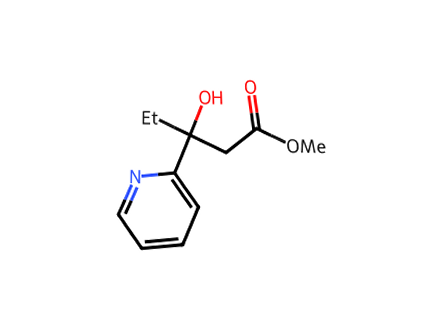 CCC(O)(CC(=O)OC)c1ccccn1